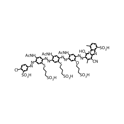 CC(=O)Nc1cc(N=Nc2cc(SCCCS(=O)(=O)O)c(N=Nc3cc(OCCCS(=O)(=O)O)c(N=Nc4c(C)c(C#N)c5nc6c(S(=O)(=O)O)ccc(C)c6n5c4O)cc3NC(C)=O)cc2NC(C)=O)c(SCCCS(=O)(=O)O)cc1N=Nc1ccc(Cl)c(S(=O)(=O)O)c1